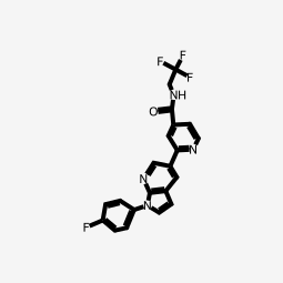 O=C(NCC(F)(F)F)c1ccnc(-c2cnc3c(ccn3-c3ccc(F)cc3)c2)c1